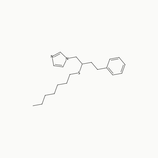 CCCCCCCSC(CCc1ccccc1)Cn1ccnc1